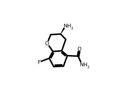 NC(=O)c1ccc(F)c2c1C[C@H](N)CO2